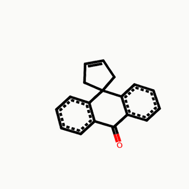 O=C1c2ccccc2C2(CC=CC2)c2ccccc21